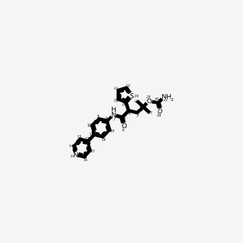 CC(C)(CC(C(=O)Nc1ccc(-c2ccncc2)cc1)c1cccs1)OC(N)=O